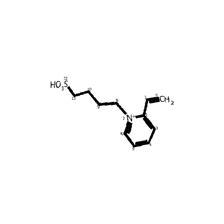 C=Cc1cccc[n+]1CCCCS(=O)(=O)O